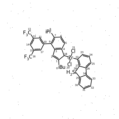 CCC(C)C1=Cc2c(ccc(C(C)C)c2-c2cc(C(F)(F)F)cc(C(F)(F)F)c2)[CH]1[Zr]([Cl])([Cl])[c]1cccc2c1[SiH2]c1ccccc1-2